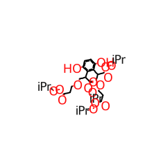 CC(C)OOC(=O)CCOCC(C(=O)OOC(C)C)c1c(O)ccc(O)c1C(COCCC(=O)OOC(C)C)C(=O)OOC(C)C